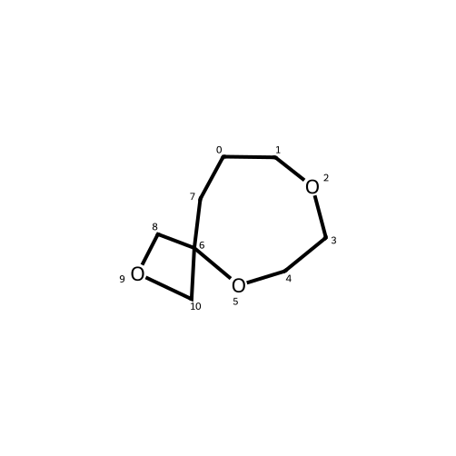 C1COCCOC2(C1)COC2